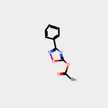 CCC(C)C(=O)Oc1nc(-c2ccccc2)no1